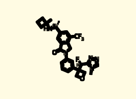 C[C@@H](NC1(C)CCC1)c1cc2c(c(C(F)(F)F)c1)CN(c1cccc(C3([C@@H](F)c4nncn4C)COC3)c1)C2=O